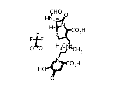 C[N+](C)(CCn1cc(O)c(=O)cc1C(=O)O)CC1=C(C(=O)O)N2C(=O)[C@@H](NC=O)[C@@H]2SC1.O=C([O-])C(F)(F)F